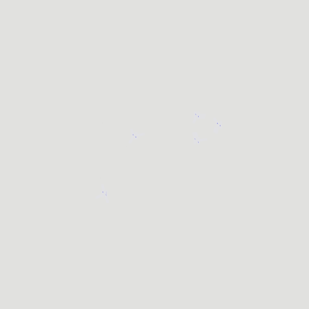 c1ccc(-c2nc(-c3ccccc3)nc(-c3ccc(-n4c5ccccc5c5c6ccc7c8cccc9c%10ccccc%10n(c7c6ccc54)c98)c4ccccc34)n2)cc1